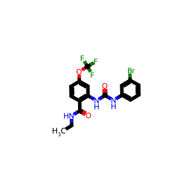 CCNC(=O)c1ccc(OC(F)(F)F)cc1NC(=O)Nc1cccc(Br)c1